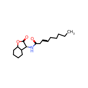 CCCCC/C=C/CC(=O)N[C@@H]1C(=O)OC2CCCCC21